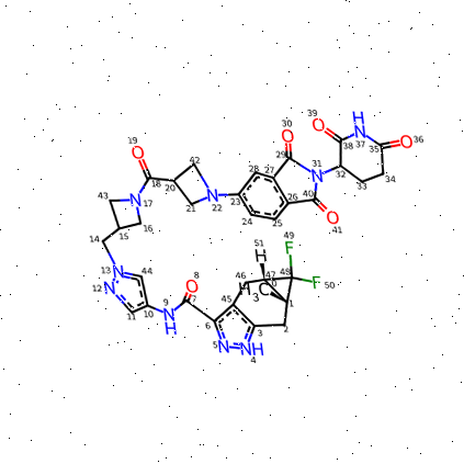 C[C@@]12Cc3[nH]nc(C(=O)Nc4cnn(CC5CN(C(=O)C6CN(c7ccc8c(c7)C(=O)N(C7CCC(=O)NC7=O)C8=O)C6)C5)c4)c3C[C@@H]1C2(F)F